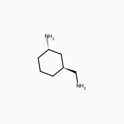 NC[C@H]1CCC[C@H](N)C1